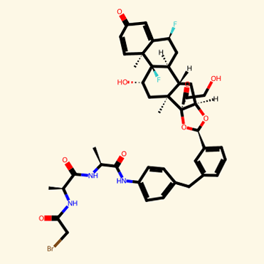 C[C@H](NC(=O)CBr)C(=O)N[C@@H](C)C(=O)Nc1ccc(Cc2cccc([C@@H]3O[C@@H]4C[C@H]5[C@@H]6C[C@H](F)C7=CC(=O)C=C[C@]7(C)[C@@]6(F)[C@@H](O)C[C@]5(C)[C@]4(C(=O)CO)O3)c2)cc1